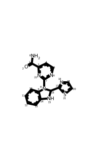 NC(=O)c1ccnc(N2c3ccccc3NC2c2nccs2)n1